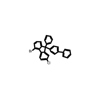 Clc1ccc2c(c1)C(c1ccccc1)(c1ccc(-c3ccccc3)cc1)c1cccc(Br)c1-2